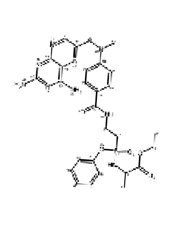 CCOC(=O)C(C)NP(=O)(CCNC(=O)c1ccc(N(C)Cc2cnc3nc(N)nc(N)c3n2)cc1)Oc1ccccc1